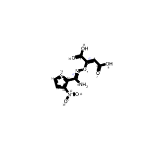 N/C(=N\O/C(=C\C(=O)O)C(=O)O)c1sccc1[N+](=O)[O-]